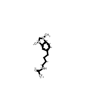 CN1C[S+]([O-])c2cc(CCCCNC(=O)C(F)(F)F)ccc21